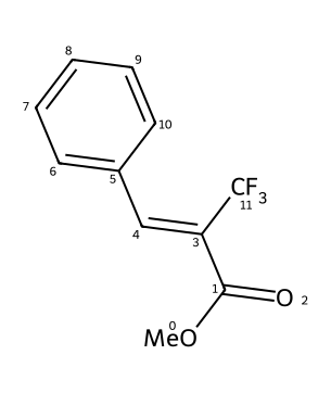 COC(=O)/C(=C/c1ccccc1)C(F)(F)F